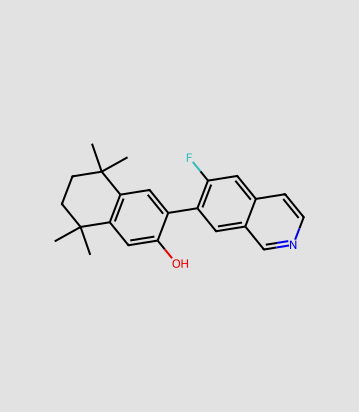 CC1(C)CCC(C)(C)c2cc(-c3cc4cnccc4cc3F)c(O)cc21